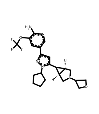 Nc1ncc(-c2cc(C3[C@H]4CN(C5COC5)C[C@@H]34)n(C3CCCC3)n2)cc1OC(F)(F)F